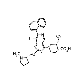 CN1CCC[C@H]1COc1nc(N2CCN(C(=O)O)[C@@H](CC#N)C2)c2cnc(-c3cccc4ccccc34)c(F)c2n1